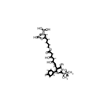 CC(C)c1nc(N(C)S(C)(=O)=O)nc(-c2ccc(F)cc2)c1/C=C/C(O)CC(O)CC(=O)OCCCCC(CON(O)O)ON(O)O